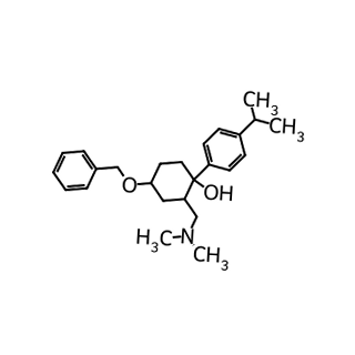 CC(C)c1ccc(C2(O)CCC(OCc3ccccc3)CC2CN(C)C)cc1